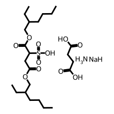 CCCCC(CC)COC(=O)CC(C(=O)OCC(CC)CCCC)S(=O)(=O)O.N.O=C(O)CCC(=O)O.[NaH]